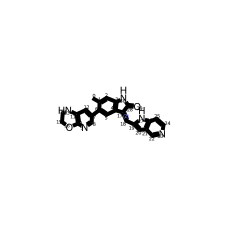 Cc1cc2c(cc1-c1cnc3c(c1)NCCO3)/C(=C/c1cc3cnccc3[nH]1)C(=O)N2